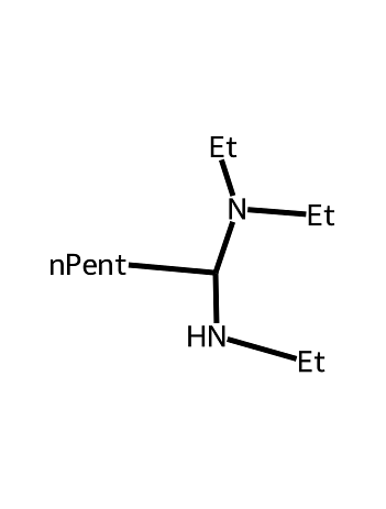 CCCCCC(NCC)N(CC)CC